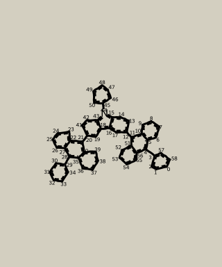 c1ccc(-c2c3ccccc3c(-c3ccc4c(c3)c3cc(-c5c6ccccc6c(-c6ccccc6)c6ccccc56)ccc3n4-c3ccccc3)c3ccccc23)cc1